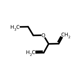 C=CC(C=C)OCCC